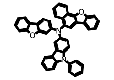 c1ccc(-n2c3ccccc3c3cc(N(c4ccc5c(c4)oc4ccccc45)c4cc5c6ccccc6oc5c5ccccc45)ccc32)cc1